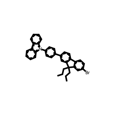 CCCC1(CCC)c2cc(Br)ccc2-c2ccc(-c3ccc(-n4c5ccccc5c5ccccc54)cc3)cc21